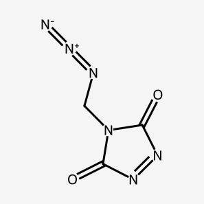 [N-]=[N+]=NCN1C(=O)N=NC1=O